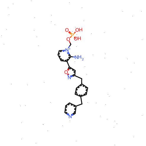 Nc1c(-c2cc(Cc3ccc(Cc4cccnc4)cc3)no2)ccc[n+]1COP(=O)(O)O